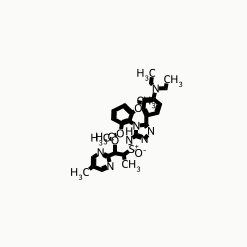 CCN(CC)c1ccc(-c2nnc(N[S+]([O-])C(C)C(OC)c3ncc(C)cn3)n2-c2c(OC)cccc2OC)cc1